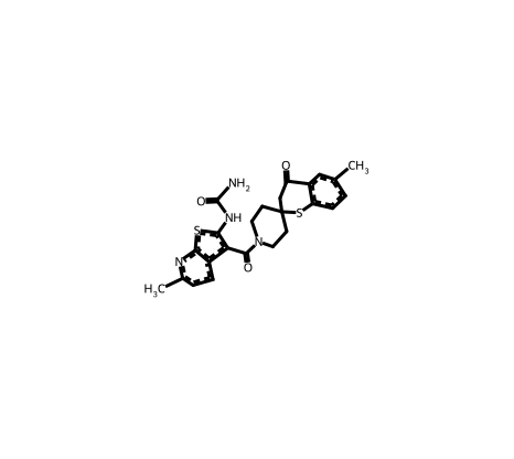 Cc1ccc2c(c1)C(=O)CC1(CCN(C(=O)c3c(NC(N)=O)sc4nc(C)ccc34)CC1)S2